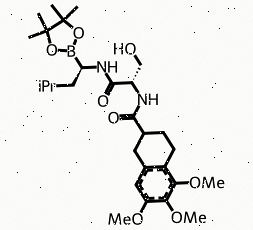 COc1cc2c(c(OC)c1OC)CCC(C(=O)N[C@@H](CO)C(=O)N[C@@H](CC(C)C)B1OC(C)(C)C(C)(C)O1)C2